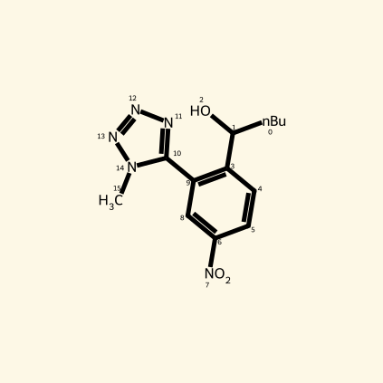 CCCCC(O)c1ccc([N+](=O)[O-])cc1-c1nnnn1C